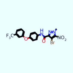 Cn1nc(C(=O)Nc2ccc(Oc3cccc(C(F)(F)F)c3)cc2)c(Br)c1[N+](=O)[O-]